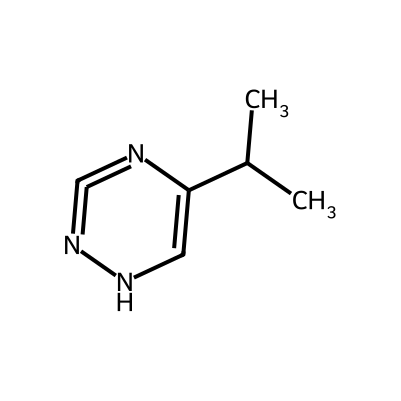 CC(C)C1=CNN=C=N1